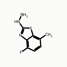 Cc1ccc(F)c2nc(NN)sc12